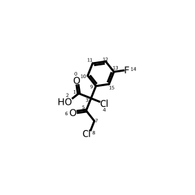 O=C(O)C(Cl)(C(=O)CCl)c1cccc(F)c1